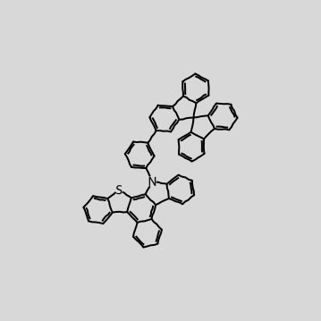 c1cc(-c2ccc3c(c2)C2(c4ccccc4-c4ccccc42)c2ccccc2-3)cc(-n2c3ccccc3c3c4ccccc4c4c5ccccc5sc4c32)c1